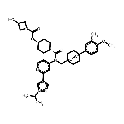 COc1ccc(C23CCC(CN(c4ccnc(-c5cnn(C(C)C)c5)c4)C(=O)[C@H]4CC[C@H](OC(=O)N5CC(O)C5)CC4)(CC2)CC3)cc1C